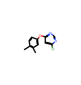 Cc1ccc(Oc2cc(Cl)ncn2)cc1C